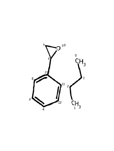 CCCC.c1ccc(C2CO2)cc1